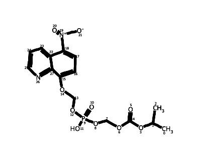 CC(C)OC(=O)OCOP(=O)(O)OCOc1ccc([N+](=O)[O-])c2cccnc12